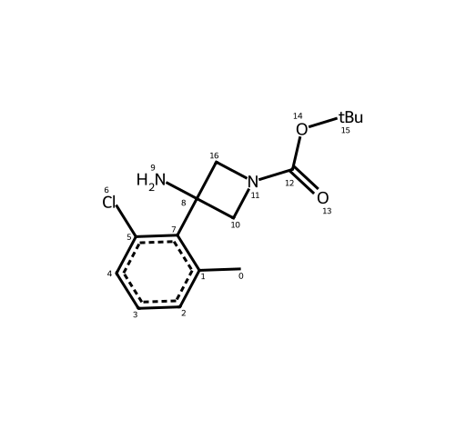 Cc1cccc(Cl)c1C1(N)CN(C(=O)OC(C)(C)C)C1